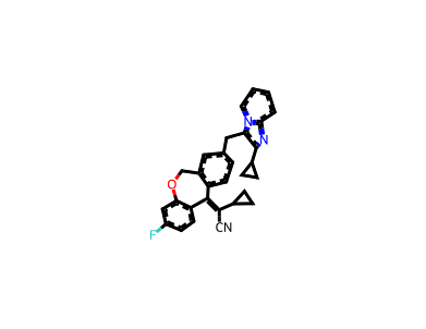 N#CC(=C1c2ccc(Cc3c(C4CC4)nc4ccccn34)cc2COc2cc(F)ccc21)C1CC1